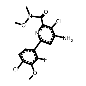 COc1c(Cl)ccc(-c2cc(N)c(Cl)c(C(=O)N(C)OC)n2)c1F